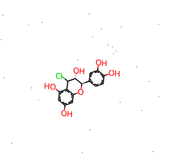 Oc1cc(O)c2c(c1)O[C@H](c1ccc(O)c(O)c1)[C@@H](O)C2Cl